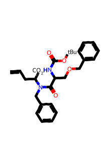 C=CCC(C(=O)O)N(Cc1ccccc1)C(=O)C(COCc1ccccc1)NC(=O)OC(C)(C)C